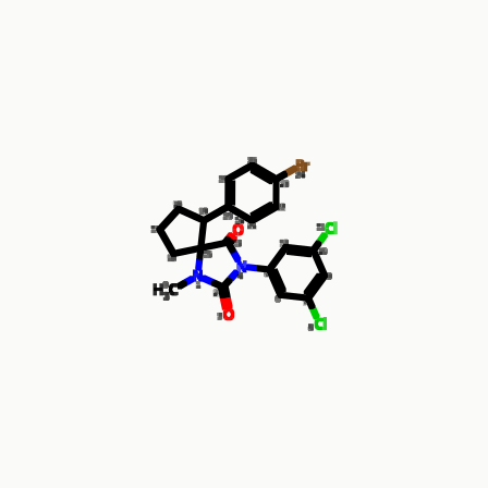 CN1C(=O)N(c2cc(Cl)cc(Cl)c2)C(=O)C12CCCC2c1ccc(Br)cc1